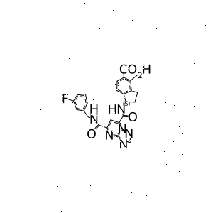 Cc1c(C(=O)O)ccc2c1CC[C@@H]2NC(=O)c1cc(C(=O)NCc2cccc(F)c2)nc2ncnn12